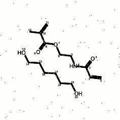 C=CC(=O)NCCOC(=O)C(=C)C.OCCCCCCO